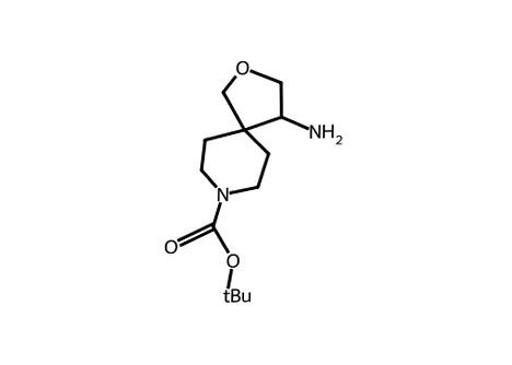 CC(C)(C)OC(=O)N1CCC2(CC1)COCC2N